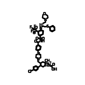 C[C@@]1(CNC(=O)O)CCC(c2ccc(Cl)cc2)=C(CN2CCN(c3ccc(C(=O)NS(=O)(=O)c4ccc(N[C@H](CCN5CCOCC5)CSc5ccccc5)c(S(=O)(=O)C(F)(F)F)c4)cc3)CC2)C1